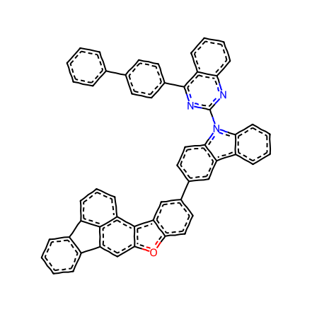 c1ccc(-c2ccc(-c3nc(-n4c5ccccc5c5cc(-c6ccc7oc8cc9c%10c(cccc%10c8c7c6)-c6ccccc6-9)ccc54)nc4ccccc34)cc2)cc1